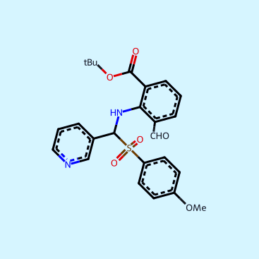 COc1ccc(S(=O)(=O)C(Nc2c(C=O)cccc2C(=O)OC(C)(C)C)c2cccnc2)cc1